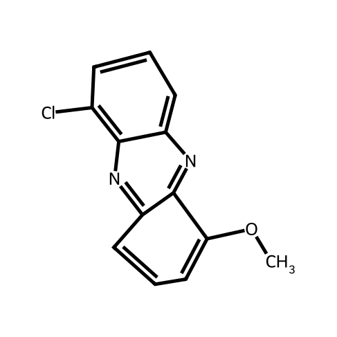 COc1cccc2nc3c(Cl)cccc3nc12